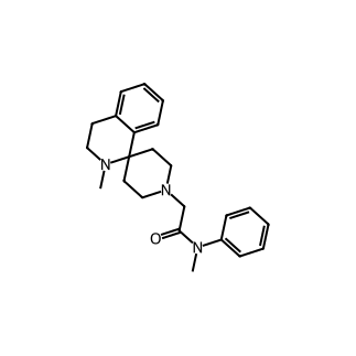 CN(C(=O)CN1CCC2(CC1)c1ccccc1CCN2C)c1ccccc1